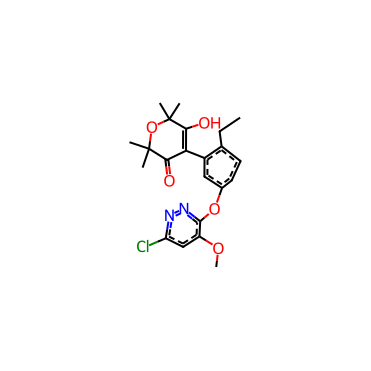 CCc1ccc(Oc2nnc(Cl)cc2OC)cc1C1=C(O)C(C)(C)OC(C)(C)C1=O